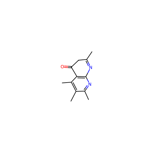 CC1=Nc2nc(C)c(C)c(C)c2C(=O)C1